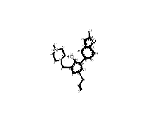 C=CCc1cc(CN2CCN(C)CC2)c(O)c(-c2ccc3oc(C)cc3c2)c1